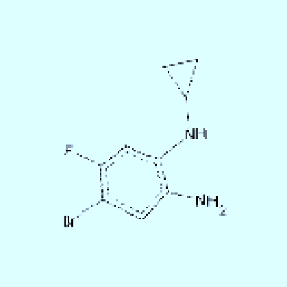 Nc1cc(Br)c(F)cc1NC1CC1